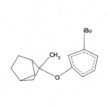 CCC(C)c1cccc(OC2(C)CC3CCC2C3)c1